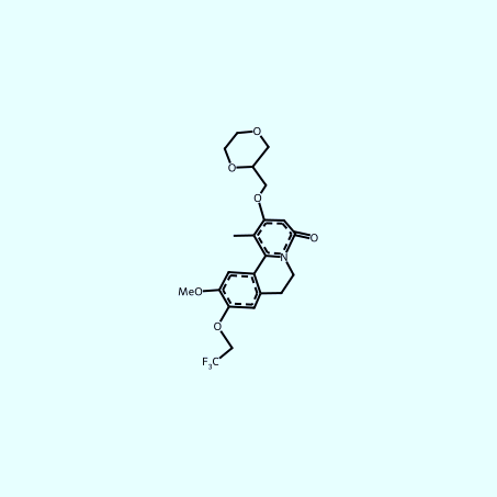 COc1cc2c(cc1OCC(F)(F)F)CCn1c-2c(C)c(OCC2COCCO2)cc1=O